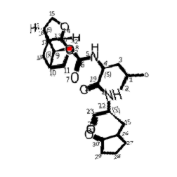 CC(C)C[C@H](NC(=O)O[C@H]1C2CO[C@H]3OC[C@@H]1C3C2)C(=O)N[C@H](C=O)CC1CCCC1=O